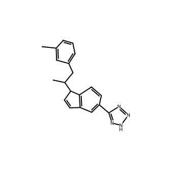 Cc1cccc(CC(C)C2C=Cc3cc(-c4nn[nH]n4)ccc32)c1